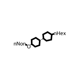 CCCCCCCCCO[C@H]1CC[C@H](C2CCC(CCCCCC)CC2)CC1